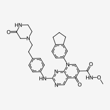 CONC(=O)c1cn(-c2ccc3c(c2)CCC3)c2nc(Nc3ccc(CCN4CCNC(=O)C4)cc3)ncc2c1=O